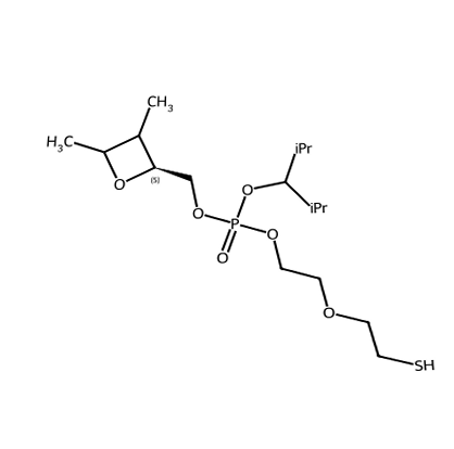 CC(C)C(OP(=O)(OCCOCCS)OC[C@H]1OC(C)C1C)C(C)C